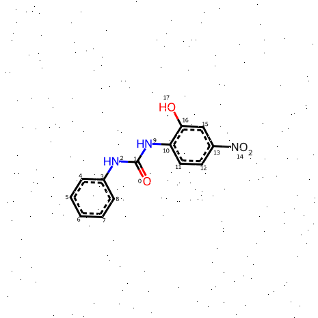 O=C(Nc1ccccc1)Nc1ccc([N+](=O)[O-])cc1O